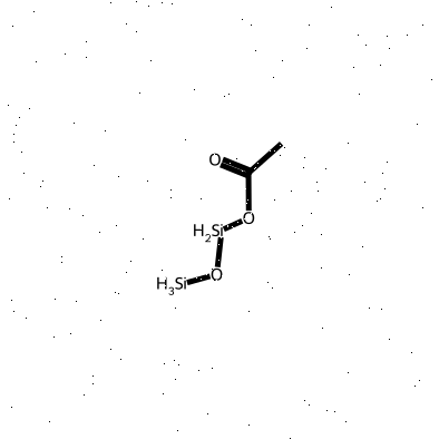 CC(=O)O[SiH2]O[SiH3]